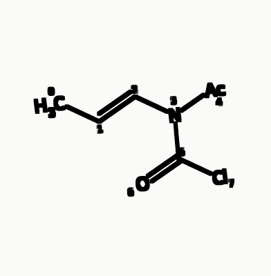 CC=CN(C(C)=O)C(=O)Cl